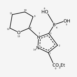 CCOC(=O)c1cc(B(O)O)n(C2CCCCO2)n1